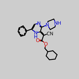 N#C/C(C(=O)OCC1CCCCC1)=C1/NC(c2ccccc2)=CN=C1N1CCNCC1